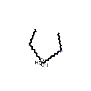 CCCCCCCC/C=C\CCCCCCCCCCC(O)(O)OCCCCCCCC/C=C\CCCCCCCC